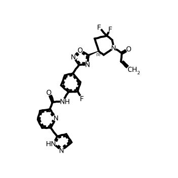 C=CC(=O)N1C[C@@H](c2nc(-c3ccc(NC(=O)c4cccc(-c5ccn[nH]5)n4)c(F)c3)no2)CC(F)(F)C1